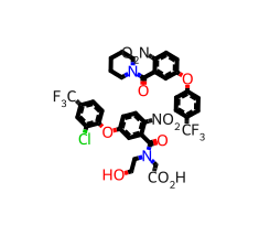 O=C(O)CN(CCO)C(=O)c1cc(Oc2ccc(C(F)(F)F)cc2Cl)ccc1[N+](=O)[O-].O=C(c1cc(Oc2ccc(C(F)(F)F)cc2)ccc1[N+](=O)[O-])N1CCCCC1